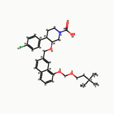 C[Si](C)(C)CCOCOc1cccc2ccc(COC3CN(C(=O)O)CCC3c3ccc(F)cc3)cc12